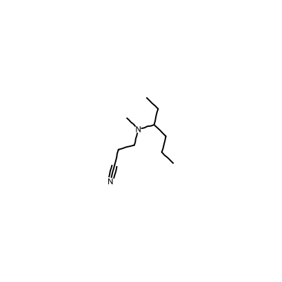 CCCC(CC)N(C)CCC#N